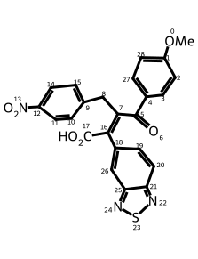 COc1ccc(C(=O)/C(Cc2ccc([N+](=O)[O-])cc2)=C(/C(=O)O)c2ccc3nsnc3c2)cc1